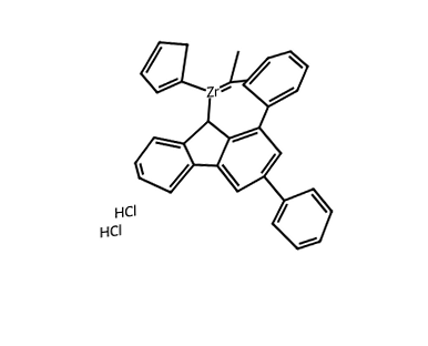 C[C](C)=[Zr]([C]1=CC=CC1)[CH]1c2ccccc2-c2cc(-c3ccccc3)cc(-c3ccccc3)c21.Cl.Cl